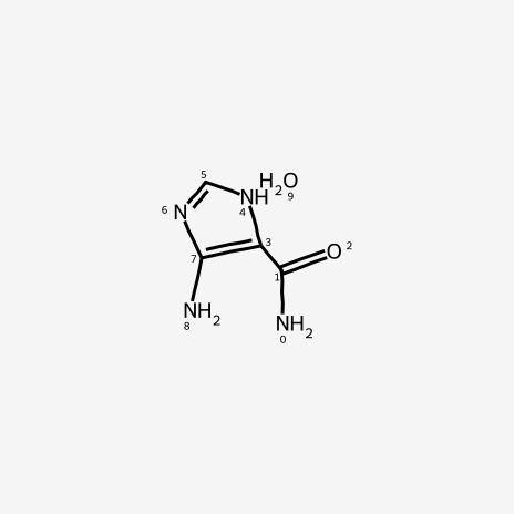 NC(=O)c1[nH]cnc1N.O